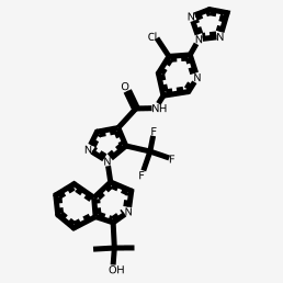 CC(C)(O)c1ncc(-n2ncc(C(=O)Nc3cnc(-n4nccn4)c(Cl)c3)c2C(F)(F)F)c2ccccc12